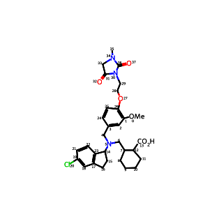 COc1cc(CN(CC2CCCCC2C(=O)O)C2CCc3cc(Cl)ccc32)ccc1OCCN1C(=O)CN(C)C1=O